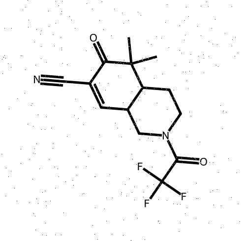 CC1(C)C(=O)C(C#N)=CC2CN(C(=O)C(F)(F)F)CCC21